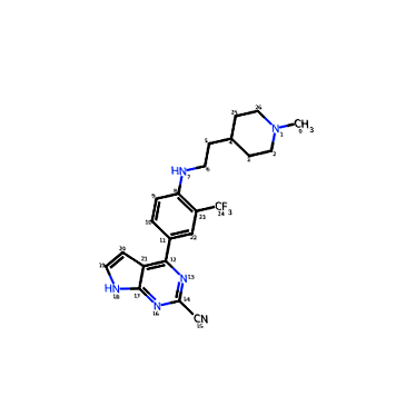 CN1CCC(CCNc2ccc(-c3nc(C#N)nc4[nH]ccc34)cc2C(F)(F)F)CC1